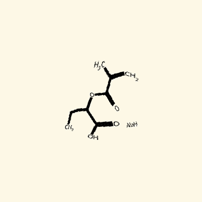 C=C(C)C(=O)OC(CC)C(=O)O.[NaH]